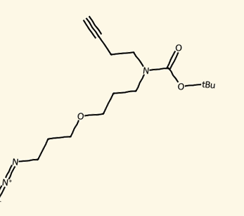 C#CCCN(CCCOCCCN=[N+]=[N-])C(=O)OC(C)(C)C